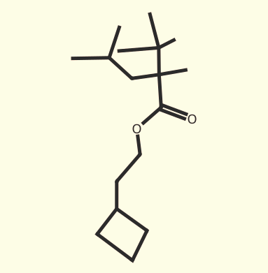 CC(C)CC(C)(C(=O)OCCC1CCC1)C(C)(C)C